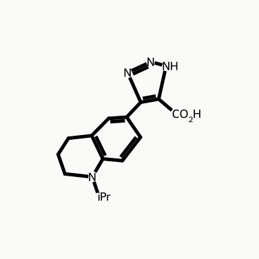 CC(C)N1CCCc2cc(-c3nn[nH]c3C(=O)O)ccc21